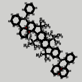 CC1(C)c2cc(N(c3ccccc3)c3ccccc3-c3ccccc3)ccc2-c2c1cc1c([Si](C)(C)C)c3c(cc1c2[Si](C)(C)C)C(C)(C)c1cc(N(c2ccccc2)c2ccccc2-c2ccccc2)ccc1-3